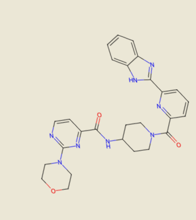 O=C(NC1CCN(C(=O)c2cccc(-c3nc4ccccc4[nH]3)n2)CC1)c1ccnc(N2CCOCC2)n1